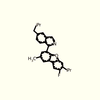 Cc1cc(-c2nccc3cc(CC(C)C)ccc23)c2oc3cc(C(C)C)c(F)cc3c2c1